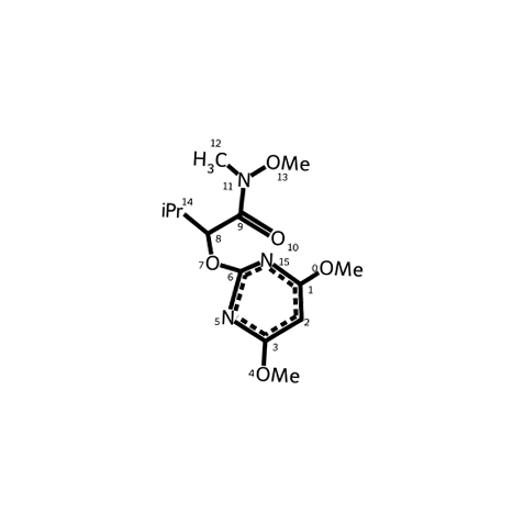 COc1cc(OC)nc(OC(C(=O)N(C)OC)C(C)C)n1